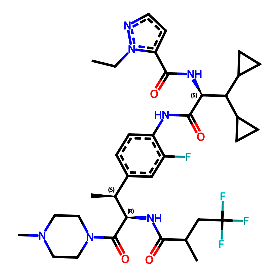 CCn1nccc1C(=O)N[C@H](C(=O)Nc1ccc([C@H](C)[C@@H](NC(=O)C(C)CC(F)(F)F)C(=O)N2CCN(C)CC2)cc1F)C(C1CC1)C1CC1